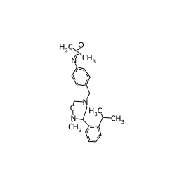 CC(C)c1ccccc1C1CN(Cc2ccc(N=S(C)(C)=O)cc2)CCN1C